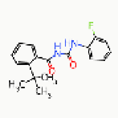 CC(C)(C)c1ccccc1C(=O)NC(=O)Nc1ccccc1F